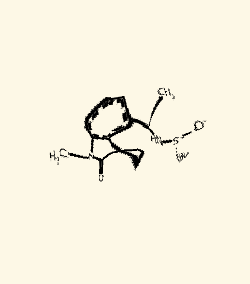 C[C@@H](N[S@+]([O-])C(C)(C)C)c1cccc2c1C1(CC1)C(=O)N2C